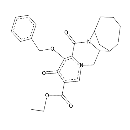 CCOC(=O)c1cn2c(c(OCc3ccccc3)c1=O)C(=O)N1C3CCCCC(C3)C1C2